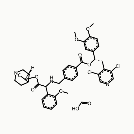 COc1ccc([C@H](Cc2c(Cl)cncc2Cl)OC(=O)c2ccc(CNC(C(=O)O[C@H]3CN4CCC3CC4)c3ccccc3OC)cc2)cc1OC.O=CO